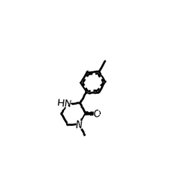 Cc1ccc(C2NCCN(C)C2=O)cc1